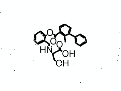 Cc1c(C(=O)Oc2ccccc2CNC(CO)C(=O)O)cccc1-c1ccccc1